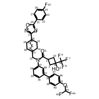 O=C(C1CC(O)(C(F)(F)F)C1)N(CC12CCC(c3noc(-c4ccc(F)cc4)n3)(CC1)CC2)c1cccc(-c2ccc(OC(F)F)cc2)c1